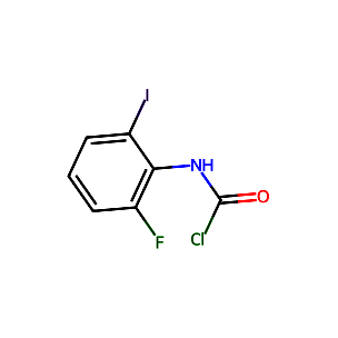 O=C(Cl)Nc1c(F)cccc1I